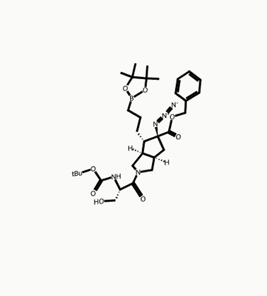 CC(C)(C)OC(=O)N[C@@H](CO)C(=O)N1C[C@@H]2C[C@@](N=[N+]=[N-])(C(=O)OCc3ccccc3)[C@@H](CCCB3OC(C)(C)C(C)(C)O3)[C@@H]2C1